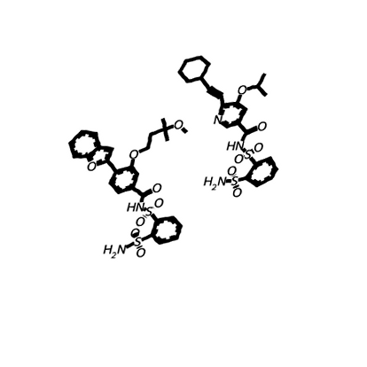 CC(C)Oc1cc(C(=O)NS(=O)(=O)c2ccccc2S(N)(=O)=O)cnc1C#CC1CCCCC1.COC(C)(C)CCOc1cc(C(=O)NS(=O)(=O)c2ccccc2S(N)(=O)=O)ccc1-c1cc2ccccc2o1